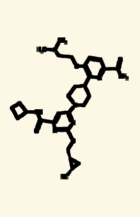 CN(C)CCOc1ccc(C(N)=O)nc1C1CCN(c2cc(C(=O)NC3CCC3)nc(OC[C@@H]3C[C@@H]3C#N)n2)CC1